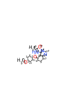 COc1ccc(Oc2cccc3ncnc(NC(C)=O)c23)cc1